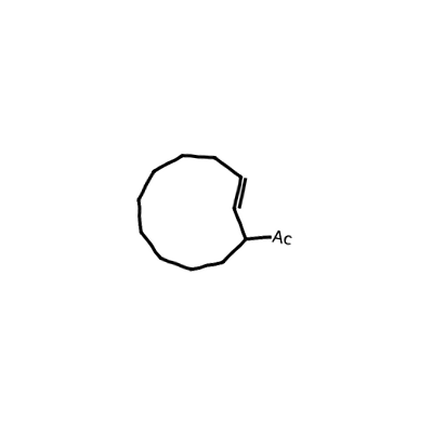 CC(=O)C1/C=C/CCCCCCCC1